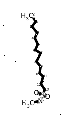 CCCCCCCCCCCCCCS(=O)(=O)[N]C